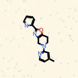 Cc1ccnc(N2CCc3oc(-c4ccccn4)nc3C2)c1